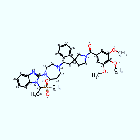 COc1cc(C(=O)N2CCC(CCN3CCCN(c4nc5ccccc5n4C(C)S(C)(=O)=O)CC3)(c3ccccc3)C2)cc(OC)c1OC